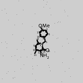 COc1ccc(Cn2c(C)cc(C)c(N)c2=O)cc1